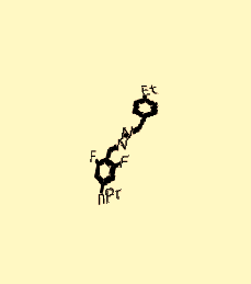 CCCc1cc(F)c(/C=N/N=C/c2ccc(CC)cc2)c(F)c1